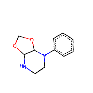 c1ccc(N2CCNC3OCOC32)cc1